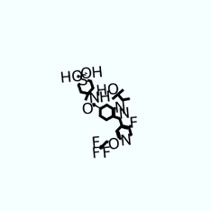 CC(n1nc(-c2cc(OCC(F)(F)F)ncc2F)c2c1C[C@H](C(=O)NC1(C)CCS(O)(O)CC1)CC2)C(C)(C)O